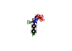 COC(=O)C1CN(c2nc(-c3ccc(-c4ccc(F)cc4)cc3)c(Br)s2)CCO1